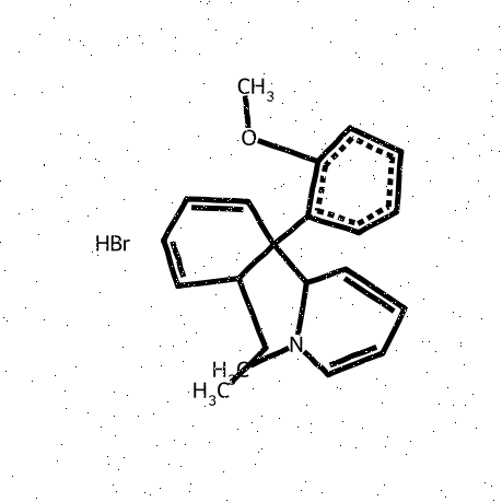 Br.CCC1C=CC=CC1(c1ccccc1OC)C1C=CC=CN1C